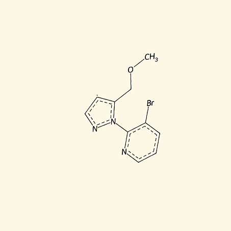 COCc1[c]cnn1-c1ncccc1Br